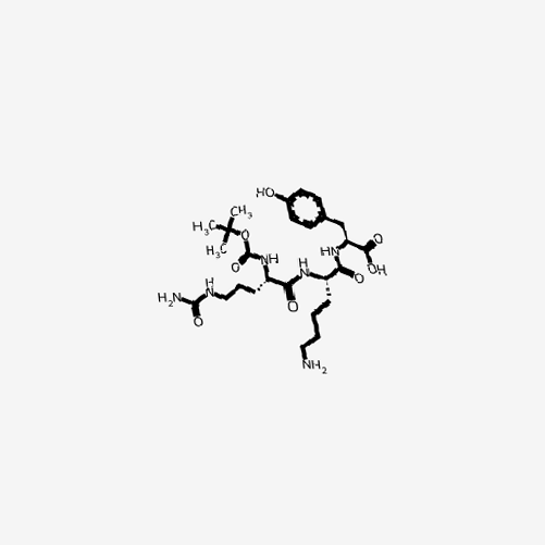 CC(C)(C)OC(=O)N[C@@H](CCCNC(N)=O)C(=O)N[C@@H](CCCCN)C(=O)N[C@@H](Cc1ccc(O)cc1)C(=O)O